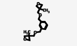 CC1(COCc2cccc(COCC3(C)COC3)c2)COC1